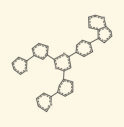 c1ccc(-c2cccc(-c3cc(-c4ccc(-c5cccc6ncccc56)cc4)nc(-c4cccc(-c5ccccn5)c4)n3)c2)nc1